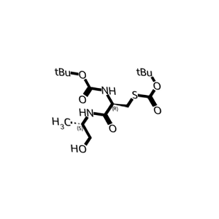 C[C@@H](CO)NC(=O)[C@H](CSC(=O)OC(C)(C)C)NC(=O)OC(C)(C)C